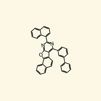 c1ccc(-c2cccc(-c3nc(-c4cccc5ccccc45)nc4oc5c6ccccc6ccc5c34)c2)cc1